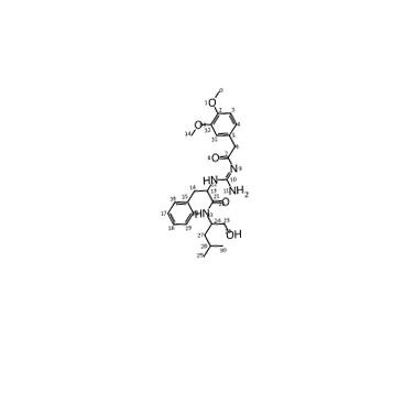 COc1ccc(CC(=O)N=C(N)NC(Cc2ccccc2)C(=O)NC(CO)CC(C)C)cc1OC